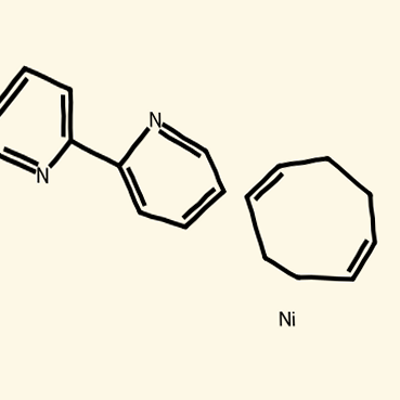 C1=CCCC=CCC1.[Ni].c1ccc(-c2ccccn2)nc1